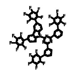 Fc1c(F)c(F)c(-c2cccc(-c3nc(-c4cccc(-c5c(F)c(F)c(F)c(F)c5F)c4)nc(-n4c5ccc(-c6c(F)c(F)c(F)c(F)c6F)cc5c5cc(-c6c(F)c(F)c(F)c(F)c6F)ccc54)n3)c2)c(F)c1F